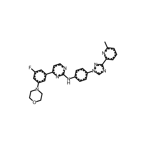 Cc1cccc(-c2ncn(-c3ccc(Nc4nccc(-c5cc(F)cc(N6CCOCC6)c5)n4)cc3)n2)n1